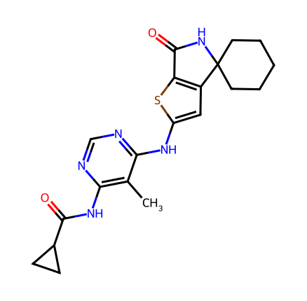 Cc1c(NC(=O)C2CC2)ncnc1Nc1cc2c(s1)C(=O)NC21CCCCC1